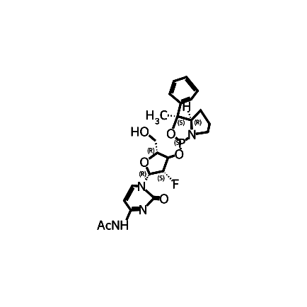 CC(=O)Nc1ccn([C@@H]2O[C@H](CO)C(O[P@]3O[C@@](C)(c4ccccc4)[C@H]4CCCN43)[C@@H]2F)c(=O)n1